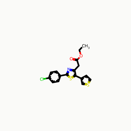 CCOC(=O)Cc1nc(-c2ccc(Cl)cc2)sc1-c1ccsc1